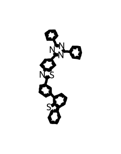 c1ccc(-c2nc(-c3ccccc3)nc(-c3ccc4nc(-c5cccc(-c6cccc7c6sc6ccccc67)c5)sc4c3)n2)cc1